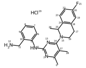 Cc1nc(Nc2ccccc2CN)nc(N2CCc3cc(F)ccc3C2C)c1C.Cl